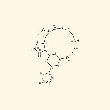 c1cc(C2CC3CC(C2)C2NNC4CCC(CC42)OCCCNCCO3)co1